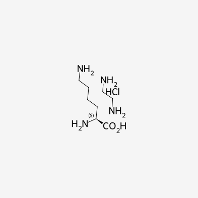 Cl.NCCCC[C@H](N)C(=O)O.NCCN